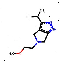 COCCN1Cc2[nH]nc(C(C)C)c2C1